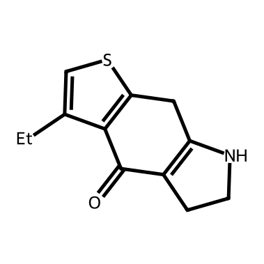 CCc1csc2c1C(=O)C1=C(C2)NCC1